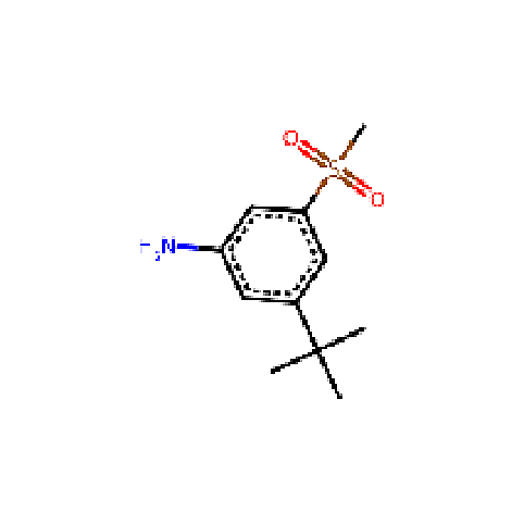 CC(C)(C)c1cc(N)cc(S(C)(=O)=O)c1